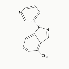 FC(F)(F)c1cccc2c1cnn2-c1cccnc1